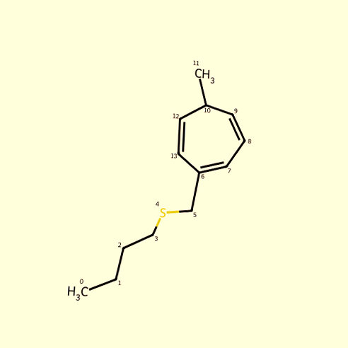 CCCCSCC1=CC=CC(C)C=C1